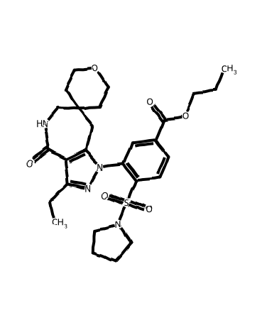 CCCOC(=O)c1ccc(S(=O)(=O)N2CCCC2)c(-n2nc(CC)c3c2CC2(CCOCC2)CNC3=O)c1